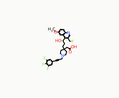 COc1ccc2ncc(CF)c([C@@H](O)CCC3(CC(=O)O)CCN(CC#Cc4cc(F)c(F)c(F)c4)CC3)c2c1